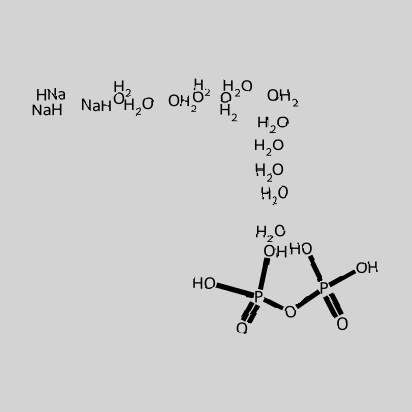 O.O.O.O.O.O.O.O.O.O.O.O.O=P(O)(O)OP(=O)(O)O.[NaH].[NaH].[NaH]